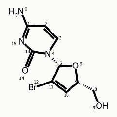 Nc1ccn([C@@H]2O[C@H](CO)C=C2Br)c(=O)n1